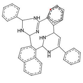 C1=C(c2ccccc2)NC(c2c(C3N=C(c4ccccc4)NC(c4ccccc4)N3)ccc3ccccc23)NC1c1ccccc1